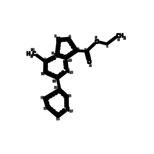 CCOC(=O)c1cnn2c(C)cc(-c3cccnc3)nc12